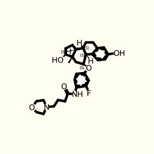 C[C@]12C[C@H](Oc3ccc(NC(=O)CCCN4CCOCC4)c(F)c3)[C@@H]3c4ccc(O)cc4CC[C@H]3[C@@H]1CC[C@@H]2O